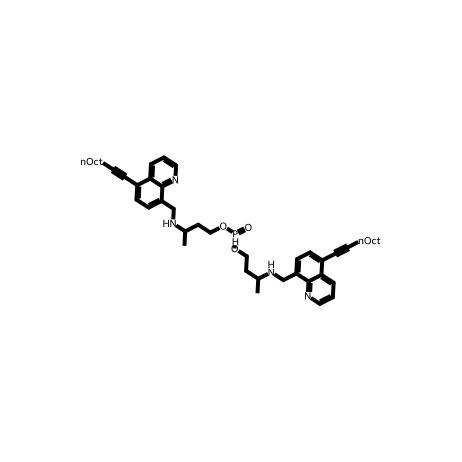 CCCCCCCCC#Cc1ccc(CNC(C)CCO[PH](=O)OCCC(C)NCc2ccc(C#CCCCCCCCC)c3cccnc23)c2ncccc12